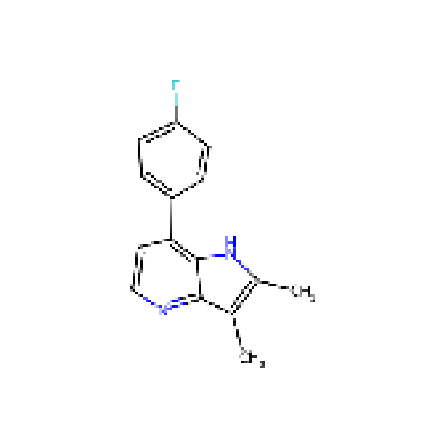 Cc1[nH]c2c(-c3ccc(F)cc3)ccnc2c1C